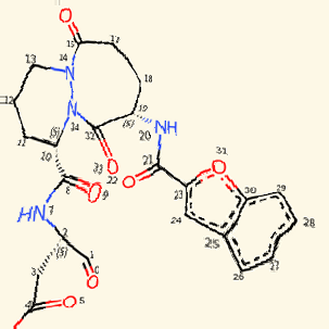 O=C[C@H](CC(=O)O)NC(=O)[C@@H]1CCCN2C(=O)CC[C@H](NC(=O)c3cc4ccccc4o3)C(=O)N12